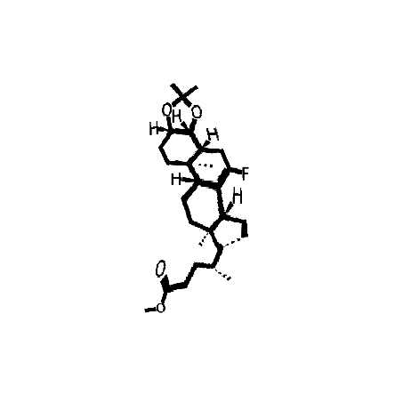 COC(=O)CC[C@@H](C)[C@H]1CC[C@H]2C3=C(F)C[C@H]4[C@H]5OC(C)(C)O[C@H]5CC[C@]4(C)[C@H]3CC[C@]12C